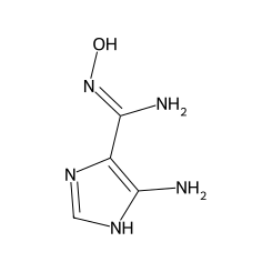 NC(=NO)c1nc[nH]c1N